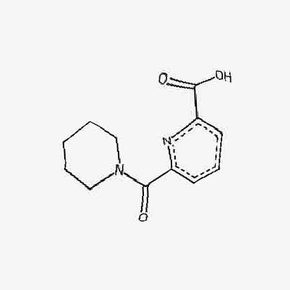 O=C(O)c1cccc(C(=O)N2CCCCC2)n1